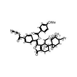 COc1ccc(C(=O)O/C(=C2/OC(=O)C3=C2C2COC4(C)C(C)C(C(C)C)CC5OC54C2(C)CC3)c2ccc(C(=O)N=[N+]=[N-])cc2)cc1